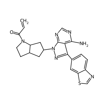 C=CC(=O)N1CCC2CC(n3nc(-c4ccc5ncsc5c4)c4c(N)ncnc43)CC21